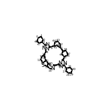 c1ccc(-c2nc3nc(n2)c2ccc4sc5cnc(cc5c4c2)c2nc(-c4ccccc4)nc(n2)c2cccc(c2)c2cccc3c2)cc1